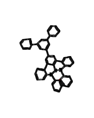 c1ccc(-c2cc(-c3ccccc3)cc(-c3cc4c5c(c3)-c3ccccc3N(c3ccccc3)B5N(c3ccccc3)c3ccccc3-4)c2)cc1